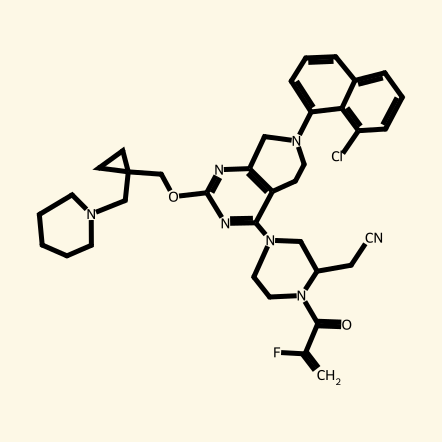 C=C(F)C(=O)N1CCN(c2nc(OCC3(CN4CCCCC4)CC3)nc3c2CCN(c2cccc4cccc(Cl)c24)C3)CC1CC#N